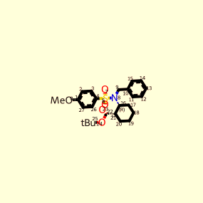 COc1ccc(S(=O)(=O)N(Cc2ccccc2)[C@@H]2CCCC[C@@H]2C(=O)OC(C)(C)C)cc1